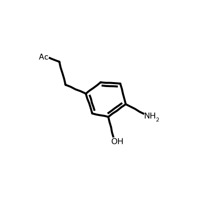 CC(=O)CCc1ccc(N)c(O)c1